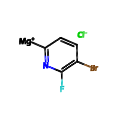 Fc1n[c]([Mg+])ccc1Br.[Cl-]